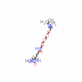 C#[N+][C@]12CS[C@@H](CCCCC(=O)NCCOCCOCCOCCOCc3cn(CC(C)(C)C)nn3)[C@H]1NC(=O)N2